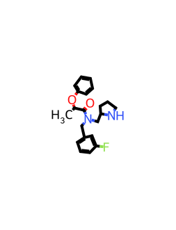 CC(Oc1ccccc1)C(=O)N(Cc1cccc(F)c1)CC1CCCN1